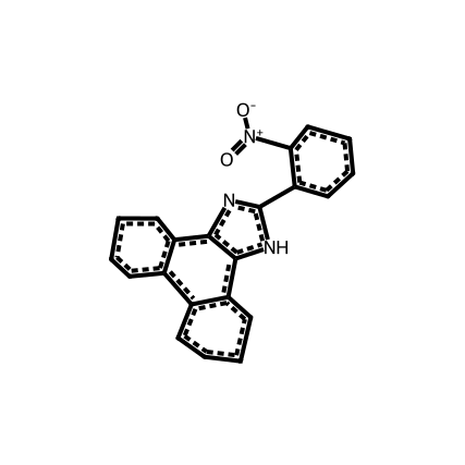 O=[N+]([O-])c1ccccc1-c1nc2c3ccccc3c3ccccc3c2[nH]1